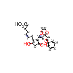 O=C(O)CCC/C=C\CC1C(O)CC(O)[C@@H]1/C=C/C1(COc2ccccc2)OCCO1